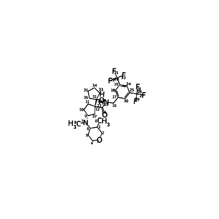 CC1COCCC1N(C)[C@@H]1CC[C@@](C(=O)NCc2cc(C(F)(F)F)cc(C(F)(F)F)c2)(C2(O)CCCC2)C1